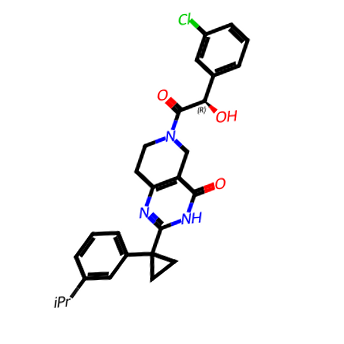 CC(C)c1cccc(C2(c3nc4c(c(=O)[nH]3)CN(C(=O)[C@H](O)c3cccc(Cl)c3)CC4)CC2)c1